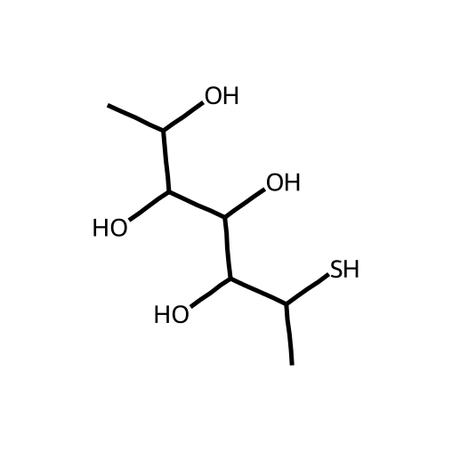 CC(O)C(O)C(O)C(O)C(C)S